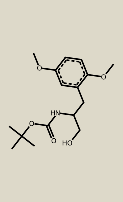 COc1ccc(OC)c(CC(CO)NC(=O)OC(C)(C)C)c1